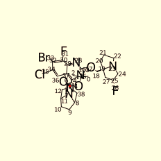 CC(C)(C)OC(=O)N1C2CCC1CN(c1nc(OC[C@@]34CCCN3C[C@H](F)C4)nc3c(F)c(Br)c(Cl)cc13)C2